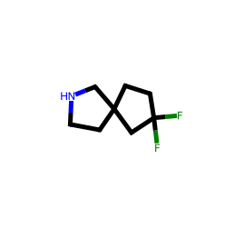 FC1(F)CCC2(CCNC2)C1